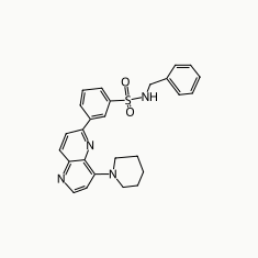 O=S(=O)(NCc1ccccc1)c1cccc(-c2ccc3nccc(N4CCCCC4)c3n2)c1